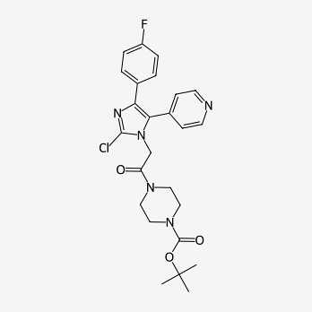 CC(C)(C)OC(=O)N1CCN(C(=O)Cn2c(Cl)nc(-c3ccc(F)cc3)c2-c2ccncc2)CC1